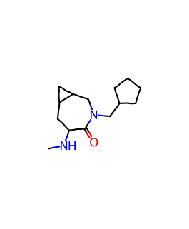 CNC1CC2CC2CN(CC2CCCC2)C1=O